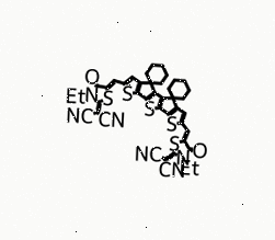 CCn1c(=C(C#N)C#N)s/c(=C\c2cc3c(s2)-c2sc4c(c2C32CCCCC2)C2(CCCCC2)c2cc(/C=c3\sc(=C(C#N)C#N)n(CC)c3=O)sc2-4)c1=O